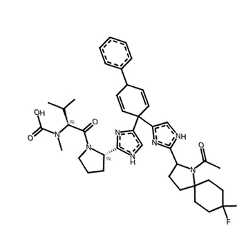 CC(=O)N1C(c2nc(C3(c4c[nH]c([C@@H]5CCCN5C(=O)[C@H](C(C)C)N(C)C(=O)O)n4)C=CC(c4ccccc4)C=C3)c[nH]2)CCC12CCC(F)(F)CC2